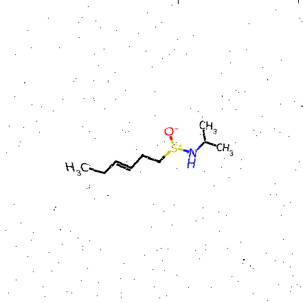 CC/C=C/CC[S+]([O-])NC(C)C